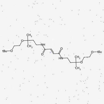 CC(C)(C)OCCOC(C)(C)CCNC(=O)/C=C/C(=O)NCCC(C)(C)OCCOC(C)(C)C